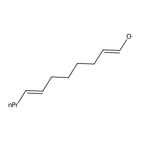 CCCC=CCCCCC=C[O]